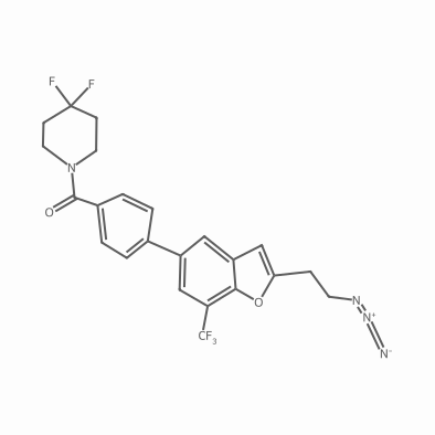 [N-]=[N+]=NCCc1cc2cc(-c3ccc(C(=O)N4CCC(F)(F)CC4)cc3)cc(C(F)(F)F)c2o1